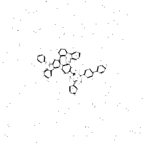 c1ccc(-c2ccc(-c3nc(-c4ccccc4)nc(-c4cccc(-n5c6ccccc6c6cccc(-c7ccc8c9ccccc9n(-c9ccccc9)c8c7)c65)c4)n3)cc2)cc1